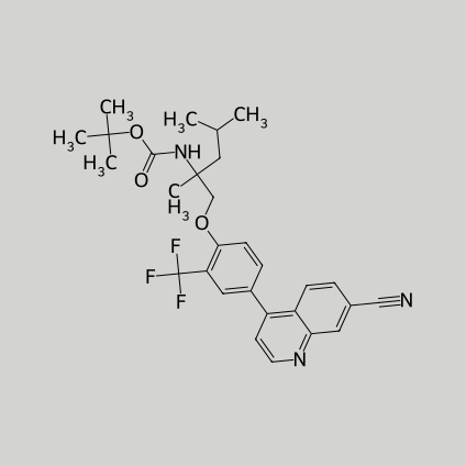 CC(C)CC(C)(COc1ccc(-c2ccnc3cc(C#N)ccc23)cc1C(F)(F)F)NC(=O)OC(C)(C)C